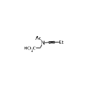 CCC#CN(CC(=O)O)C(C)=O